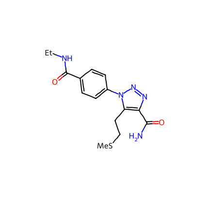 CCNC(=O)c1ccc(-n2nnc(C(N)=O)c2CCSC)cc1